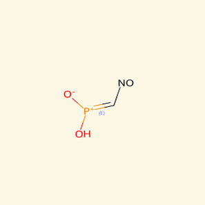 O=N/C=[P+](\[O-])O